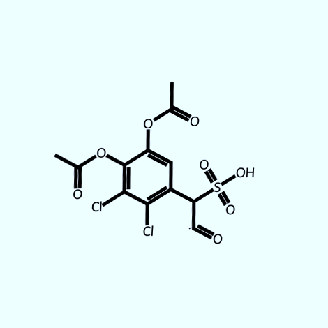 CC(=O)Oc1cc(C([C]=O)S(=O)(=O)O)c(Cl)c(Cl)c1OC(C)=O